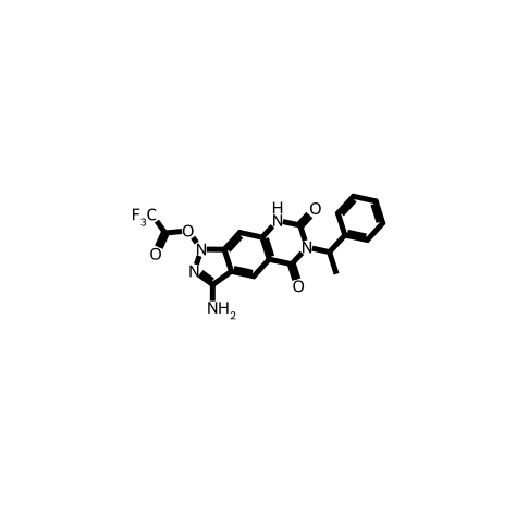 CC(c1ccccc1)n1c(=O)[nH]c2cc3c(cc2c1=O)c(N)nn3OC(=O)C(F)(F)F